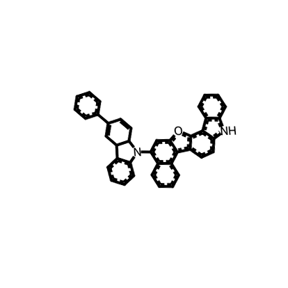 C1=CC2C(C=C1c1ccccc1)c1ccccc1N2c1cc2oc3c(ccc4[nH]c5ccccc5c43)c2c2ccccc12